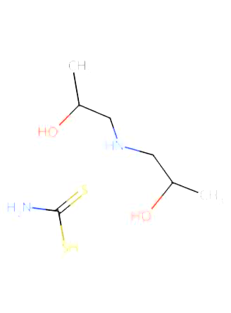 CC(O)CNCC(C)O.NC(=S)S